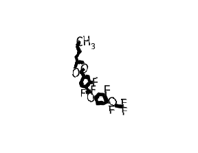 CCCCC1COC(c2ccc(C(F)(F)Oc3ccc(OC(F)=C(F)F)c(F)c3)c(F)c2)OC1